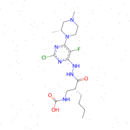 CCCC[C@H](CNC(=O)O)C(=O)NNc1nc(Cl)nc(N2CCN(C)C[C@H]2C)c1F